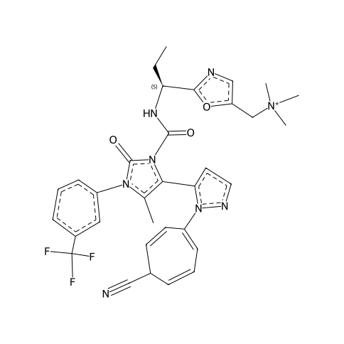 CC[C@H](NC(=O)n1c(-c2ccnn2C2=CC=CC(C#N)C=C2)c(C)n(-c2cccc(C(F)(F)F)c2)c1=O)c1ncc(C[N+](C)(C)C)o1